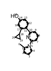 Cc1cccn1-c1cccc(-c2ccc(O)cc2C2CC2)n1